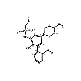 CCCS(=O)(=O)Nc1cc(N2CCN(CC)CC2)cc(-c2ccccc2CC)c1Cl